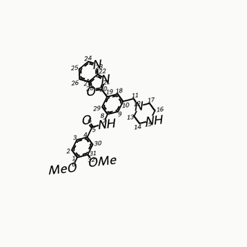 COc1ccc(C(=O)Nc2cc(CN3CCNCC3)cc(-c3nc4ncccc4o3)c2)cc1OC